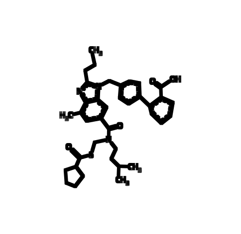 CCCc1nc2c(C)cc(C(=O)N(CCC(C)C)CSC(=O)C3CCCC3)cc2n1Cc1ccc(-c2ccccc2C(=O)O)cc1